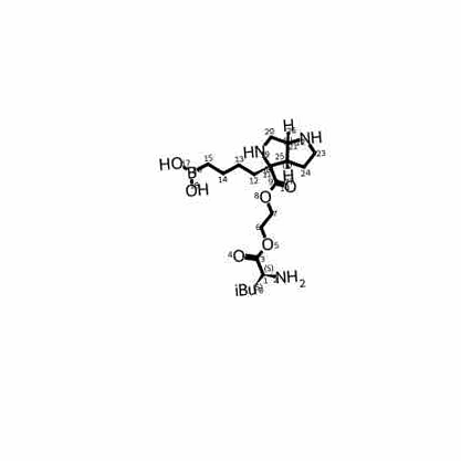 CC[C@H](C)[C@H](N)C(=O)OCCOC(=O)[C@]1(CCCCB(O)O)NC[C@@H]2NCC[C@@H]21